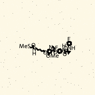 COc1cc2c(Oc3ccc(NC(=O)C4(C(=O)Nc5ccc(F)cc5)CC4)cc3F)ccnc2cc1OCCCCCNC(=O)CSC